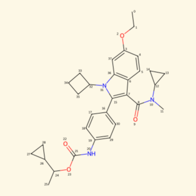 CCOc1ccc2c(C(=O)N(C)C3CC3)c(-c3ccc(NC(=O)OC(C)C4CC4)cc3)n(C3CCC3)c2c1